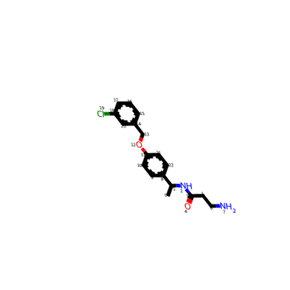 CC(NC(=O)CCN)c1ccc(OCc2cccc(Cl)c2)cc1